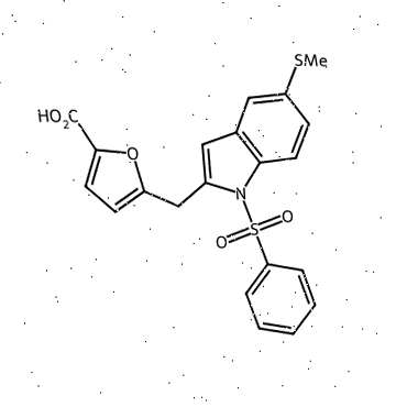 CSc1ccc2c(c1)cc(Cc1ccc(C(=O)O)o1)n2S(=O)(=O)c1ccccc1